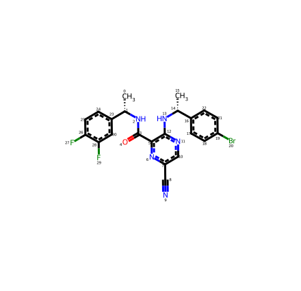 C[C@H](NC(=O)c1nc(C#N)cnc1N[C@H](C)c1ccc(Br)cc1)c1ccc(F)c(F)c1